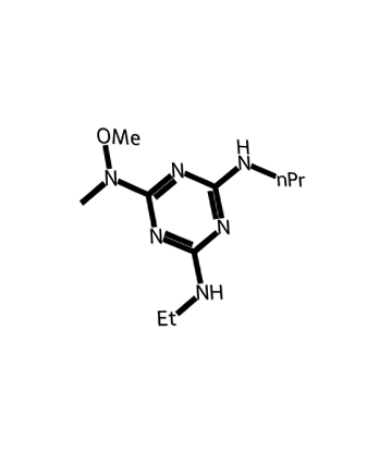 CCCNc1nc(NCC)nc(N(C)OC)n1